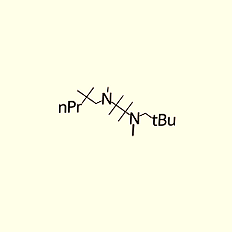 CCCC(C)(C)CN(C)C(C)(C)C(C)(C)N(I)CC(C)(C)C